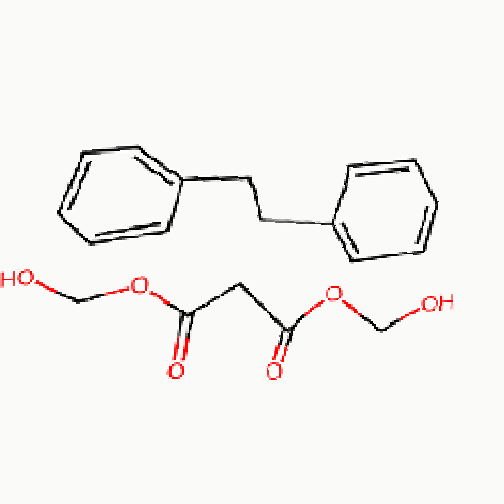 O=C(CC(=O)OCO)OCO.c1ccc(CCc2ccccc2)cc1